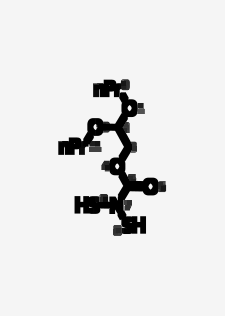 CCCOC(COC(=O)N(S)S)OCCC